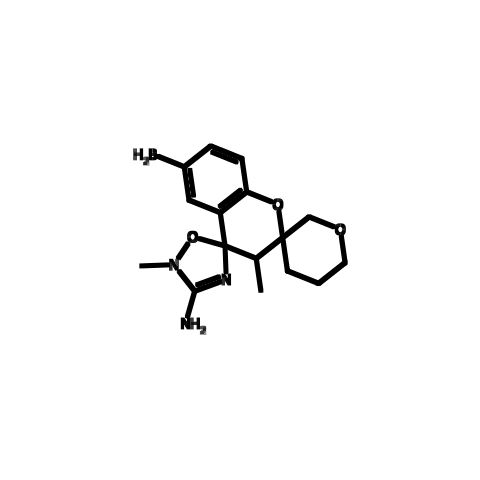 Bc1ccc2c(c1)C1(N=C(N)N(C)O1)C(C)C1(CCCOC1)O2